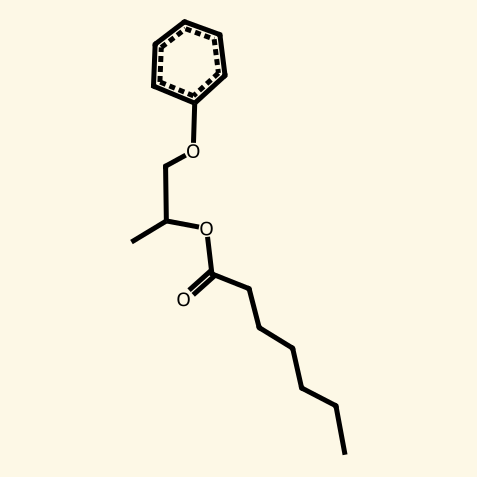 CCCCCCC(=O)OC(C)COc1ccccc1